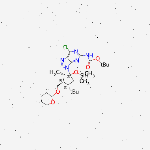 C=C1[C@H](COC2CCCCO2)[C@@H](C(C)(C)C)C[C@@]1(O[SiH](C)C)n1cnc2c(Cl)nc(NC(=O)OC(C)(C)C)nc21